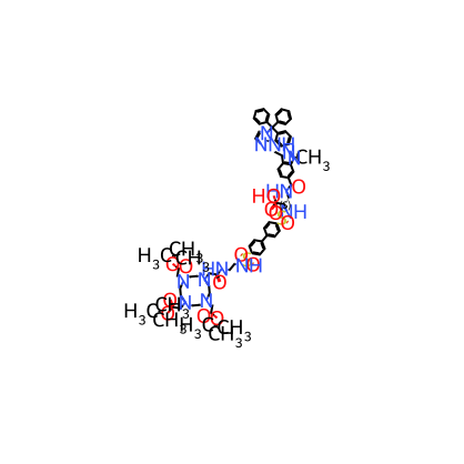 Cn1nc(CNc2nccn2C(c2ccccc2)(c2ccccc2)c2ccccc2)c2ccc(C(=O)NC[C@H](NS(=O)(=O)c3ccc(-c4ccc(S(=O)(=O)NCCNC(=O)CN5CCN(CC(=O)OC(C)(C)C)CCN(CC(=O)OC(C)(C)C)CCN(CC(=O)OC(C)(C)C)CC5)cc4)cc3)C(=O)O)cc21